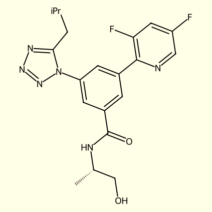 CC(C)Cc1nnnn1-c1cc(C(=O)N[C@@H](C)CO)cc(-c2ncc(F)cc2F)c1